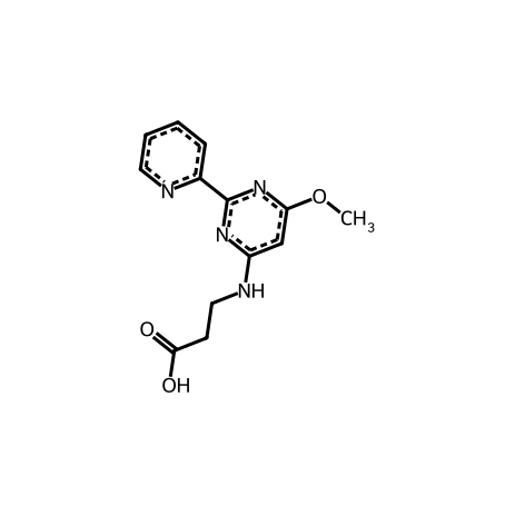 COc1cc(NCCC(=O)O)nc(-c2ccccn2)n1